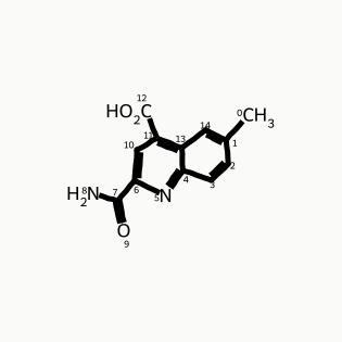 Cc1ccc2nc(C(N)=O)cc(C(=O)O)c2c1